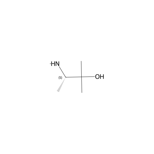 C[C@H]([NH])C(C)(C)O